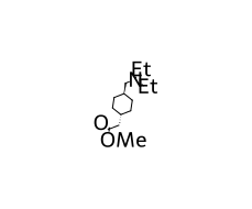 CCN(CC)C[C@H]1CC[C@H](CC(=O)OC)CC1